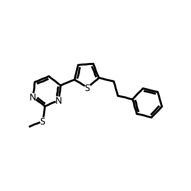 CSc1nccc(-c2ccc(CCc3ccccc3)s2)n1